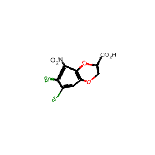 O=C(O)C1COc2cc(Br)c(Br)c([N+](=O)[O-])c2O1